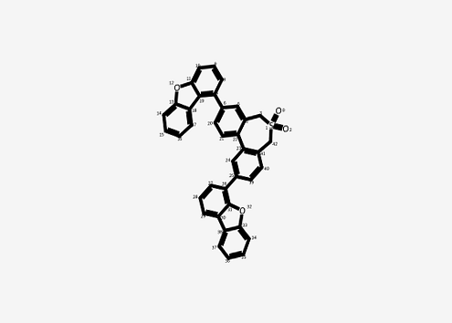 O=S1(=O)Cc2cc(-c3cccc4oc5ccccc5c34)ccc2-c2cc(-c3cccc4c3oc3ccccc34)ccc2C1